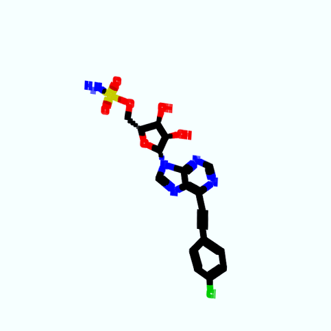 NS(=O)(=O)OC[C@H]1O[C@@H](n2cnc3c(C#Cc4ccc(Cl)cc4)ncnc32)[C@H](O)[C@@H]1O